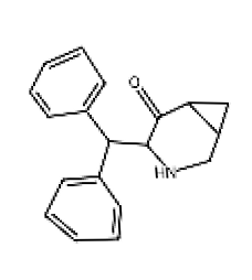 O=C1C2CC2CNC1C(c1ccccc1)c1ccccc1